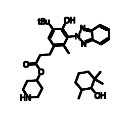 CC1CCCC(C)(C)C1O.Cc1c(CCC(=O)OC2CCNCC2)cc(C(C)(C)C)c(O)c1-n1nc2ccccc2n1